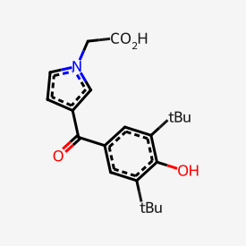 CC(C)(C)c1cc(C(=O)c2ccn(CC(=O)O)c2)cc(C(C)(C)C)c1O